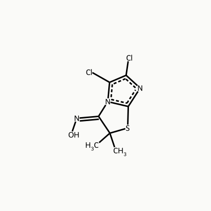 CC1(C)Sc2nc(Cl)c(Cl)n2/C1=N/O